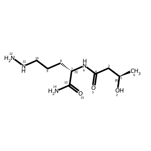 C[C@@H](O)CC(=O)N[C@@H](CCCNN)C(N)=O